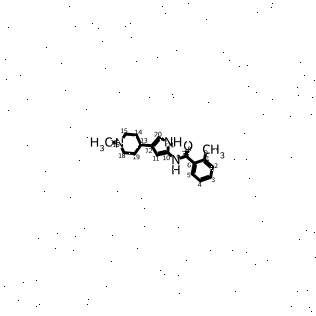 Cc1ccccc1C(=O)Nc1cc(C2CCN(C)CC2)c[nH]1